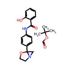 CC(C)(C)OC=O.O=C(Nc1ccc(C23CN2CCO3)cc1)c1ccccc1O